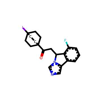 O=C(CC1c2c(F)cccc2-c2cncn21)C12CCC(I)(CC1)CC2